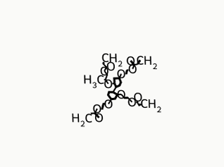 C=CC(=O)O/C=C/Oc1ccc(-c2ccc(O/C=C/OC(=O)C=C)cc2OC(C)COC(=O)C=C)c(O/C=C/OC(=O)C=C)c1